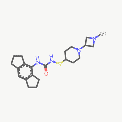 CC(C)N1CC(N2CCC(SNC(=O)Nc3c4c(cc5c3CCC5)CCC4)CC2)C1